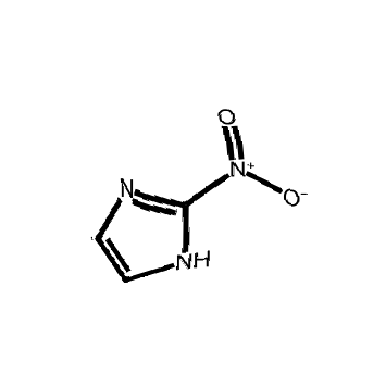 O=[N+]([O-])c1n[c]c[nH]1